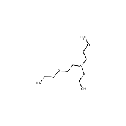 COCCN(CCO)CCOCCO